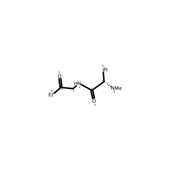 CCC(=O)CNC(=O)[C@@H](NC)C(C)C